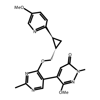 COc1ccc([C@H]2C[C@@H]2COc2nc(C)ncc2-c2cc(=O)n(C)nc2OC)nc1